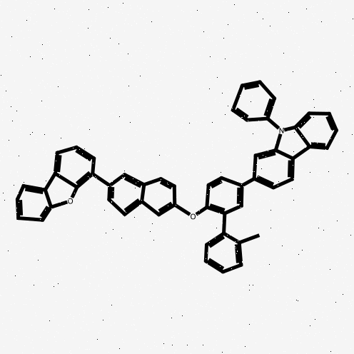 Cc1ccccc1-c1cc(-c2ccc3c4ccccc4n(-c4ccccc4)c3c2)ccc1Oc1ccc2cc(-c3cccc4c3oc3ccccc34)ccc2c1